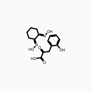 O=C(O)C(=O)Cc1ccccc1O.ON=C1CCCCC1=NO